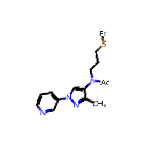 CCSCCCN(C(C)=O)c1cn(-c2cccnc2)nc1C